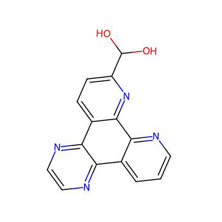 OC(O)c1ccc2c3nccnc3c3cccnc3c2n1